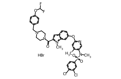 Br.Cc1cc(Oc2ccc3cc(C(=O)N4CCN(Cc5ccc(OC(F)F)cc5)CC4)n(C)c3c2)ncc1N(C)S(=O)(=O)c1ccc(Cl)c(Cl)c1